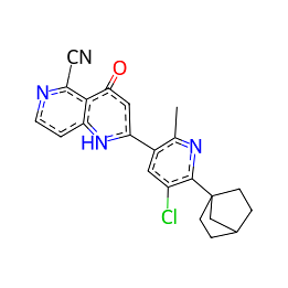 Cc1nc(C23CCC(CC2)C3)c(Cl)cc1-c1cc(=O)c2c(C#N)nccc2[nH]1